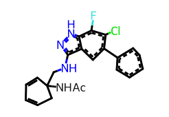 CC(=O)NC1(CNc2n[nH]c3c(F)c(Cl)c(-c4ccccc4)cc23)C=CC=CC1